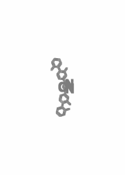 Cc1ccccc1-c1ccc(-c2nnc(-c3ccc(-c4ccccc4C)c(C)c3)o2)cc1C